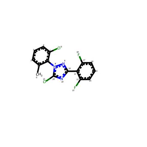 Cc1cccc(Cl)c1-n1nc(-c2c(F)cccc2F)nc1Cl